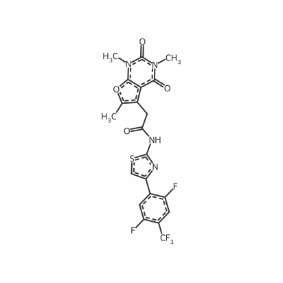 Cc1oc2c(c1CC(=O)Nc1nc(-c3cc(F)c(C(F)(F)F)cc3F)cs1)c(=O)n(C)c(=O)n2C